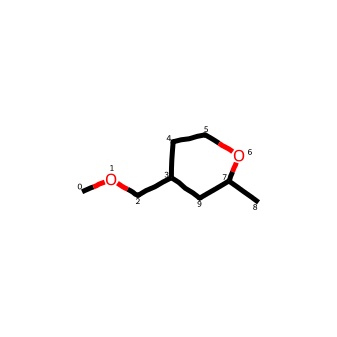 COCC1CCOC(C)C1